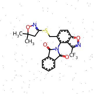 CC1(C)CC(SCc2ccc3onc(C(F)(F)F)c3c2N2C(=O)c3ccccc3C2=O)=NO1